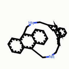 c1ccc2c3c4ccccc4c(c2c1)CNCc1c2ccccc2c(c2ccccc12)CNC3